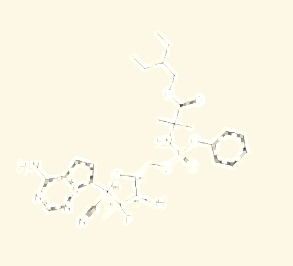 CCC(CC)COC(=O)C(C)(C)NP(=O)(OC[C@H]1O[C@@](C#N)(c2ccc3c(N)ncnn23)[C@](C)(F)[C@@H]1O)Oc1ccccc1